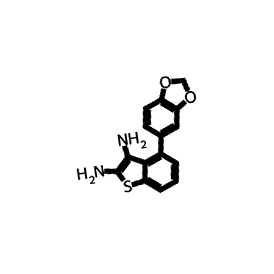 Nc1sc2cccc(-c3ccc4c(c3)OCO4)c2c1N